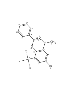 CC(C)c1cc(Br)cc(C(F)(F)F)c1OCc1ccccc1